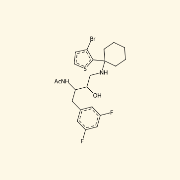 CC(=O)NC(Cc1cc(F)cc(F)c1)C(O)CNC1(c2sccc2Br)CCCCC1